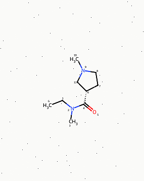 CCN(C)C(=O)[C@H]1CCN(C)C1